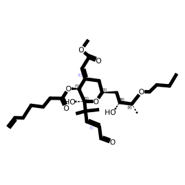 C=CCCCCC(=O)O[C@H]1/C(=C/C(=O)OC)C[C@@H](C[C@@H](O)[C@@H](C)OCCCC)O[C@@]1(O)C(C)(C)/C=C/C=O